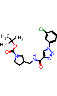 CC(C)(C)OC(=O)N1CCC(CNC(=O)c2cn(-c3cccc(Cl)c3)nn2)C1